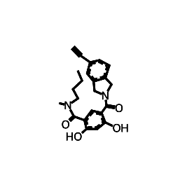 C#Cc1ccc2c(c1)CN(C(=O)c1cc(C(=O)N(C)CCCC)c(O)cc1O)C2